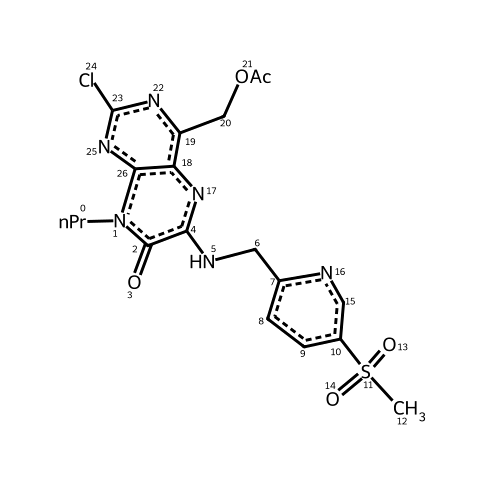 CCCn1c(=O)c(NCc2ccc(S(C)(=O)=O)cn2)nc2c(COC(C)=O)nc(Cl)nc21